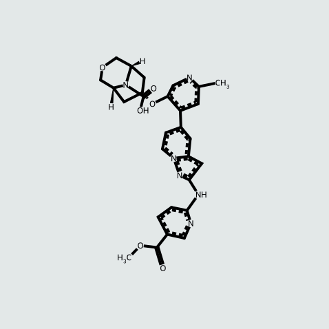 COC(=O)c1ccc(Nc2cc3cc(-c4cc(C)ncc4O[C@H]4C[C@H]5COC[C@@H](C4)N5C(=O)O)ccn3n2)nc1